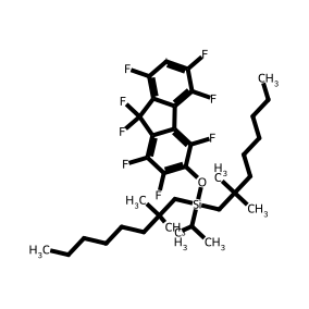 CCCCCCC(C)(C)C[Si](CC(C)(C)CCCCCC)(Oc1c(F)c(F)c2c(c1F)-c1c(F)c(F)[c]c(F)c1C2(F)F)C(C)C